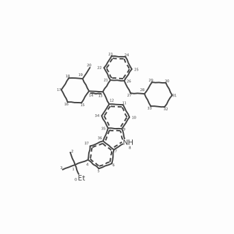 CCC(C)(C)c1ccc2[nH]c3ccc(/C(=C4\CCCCC4C)c4ccccc4CC4CCCCC4)cc3c2c1